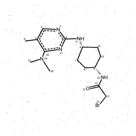 Cc1cnc(N[C@H]2CC[C@@H](NC(=O)CBr)CC2)nc1N(C)C